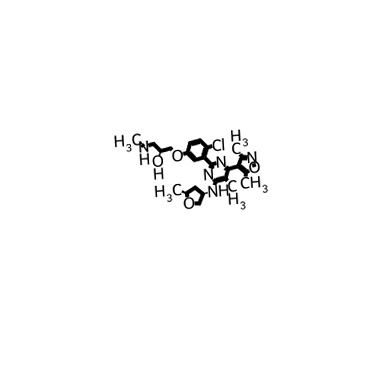 CNC[C@@H](O)COc1ccc(Cl)c(-c2nc(N[C@@H]3CO[C@@H](C)C3)c(C)c(-c3c(C)noc3C)n2)c1